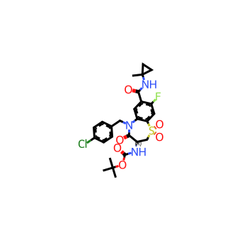 CC1(NC(=O)c2cc3c(cc2F)S(=O)(=O)C[C@H](NC(=O)OC(C)(C)C)C(=O)N3Cc2ccc(Cl)cc2)CC1